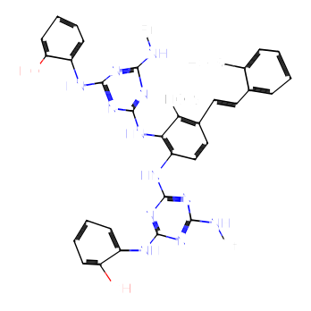 CCNc1nc(Nc2ccccc2O)nc(Nc2ccc(C=Cc3ccccc3S(=O)(=O)O)c(S(=O)(=O)O)c2Nc2nc(NCC)nc(Nc3ccccc3O)n2)n1